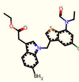 Bc1ccc2c(CC(=O)OCC)cn(Cc3csc4c(N(C=O)CC)cc(Cl)cc34)c2c1